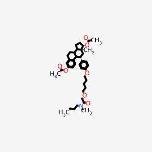 CCCCN(C)C(=O)COCCCCCOc1ccc([C@H]2C[C@@]3(C)C(CC[C@@H]3OC(C)=O)C3CCc4cc(OC(C)=O)ccc4C32)cc1